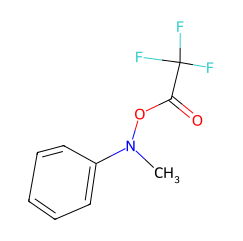 CN(OC(=O)C(F)(F)F)c1ccccc1